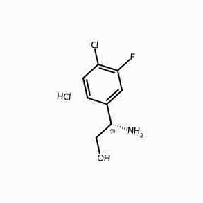 Cl.N[C@H](CO)c1ccc(Cl)c(F)c1